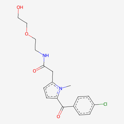 Cn1c(CC(=O)NCCOCCO)ccc1C(=O)c1ccc(Cl)cc1